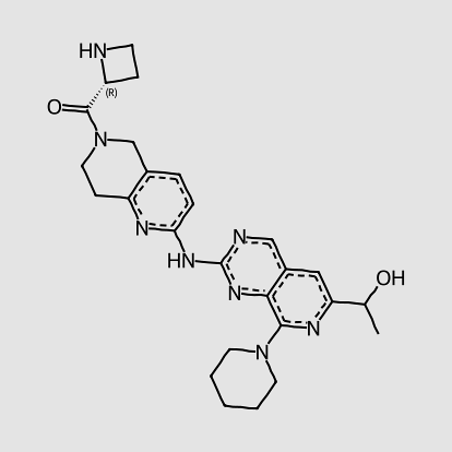 CC(O)c1cc2cnc(Nc3ccc4c(n3)CCN(C(=O)[C@H]3CCN3)C4)nc2c(N2CCCCC2)n1